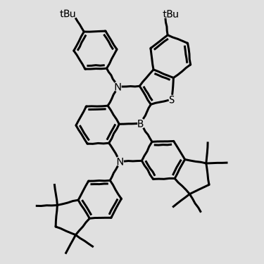 CC(C)(C)c1ccc(N2c3cccc4c3B(c3cc5c(cc3N4c3ccc4c(c3)C(C)(C)CC4(C)C)C(C)(C)CC5(C)C)c3sc4ccc(C(C)(C)C)cc4c32)cc1